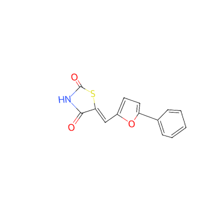 O=C1NC(=O)C(=Cc2ccc(-c3ccccc3)o2)S1